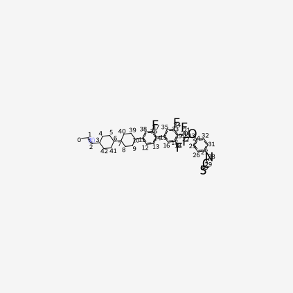 C/C=C/C1CCC(C2CCC(c3ccc(-c4cc(F)c(C(F)(F)Oc5ccc(N=C=S)cc5)c(F)c4)c(F)c3)CC2)CC1